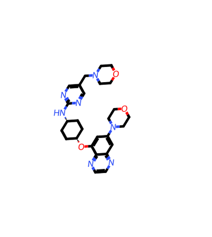 c1cnc2c(O[C@H]3CC[C@@H](Nc4ncc(CN5CCOCC5)cn4)CC3)cc(N3CCOCC3)cc2n1